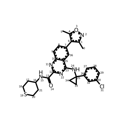 Cc1noc(C)c1-c1ccc2nc(C(=O)NC3CCSCC3)nc(NC3(c4cccc(Cl)c4)CC3)c2c1